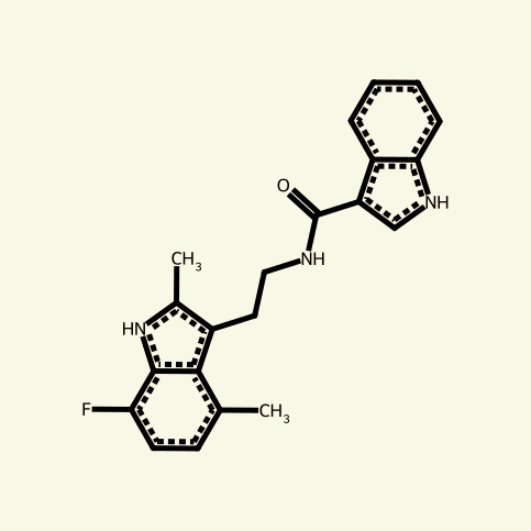 Cc1[nH]c2c(F)ccc(C)c2c1CCNC(=O)c1c[nH]c2ccccc12